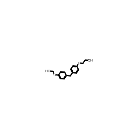 OCCOc1ccc(Cc2ccc(OCO)cc2)cc1